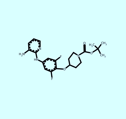 CC(C)(C)OC(=O)N1CCC(Oc2c(F)cc(Nc3ncccc3N)cc2F)CC1